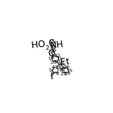 CCC(=C(c1ccc(I)cc1)c1ccc(OCCNC(=O)O)cc1)c1ccccc1